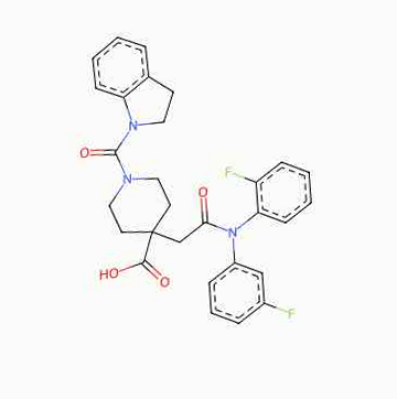 O=C(N1CCC(CC(=O)N(c2cccc(F)c2)c2ccccc2F)(C(=O)O)CC1)N1CCc2ccccc21